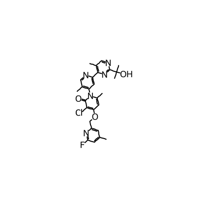 Cc1cc(F)nc(COc2cc(C)n(-c3cc(-c4nc(C(C)(C)O)ncc4C)ncc3C)c(=O)c2Cl)c1